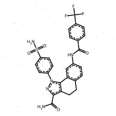 NC(=O)c1nn(-c2ccc(S(N)(=O)=O)cc2)c2c1CCc1ccc(NC(=O)c3ccc(C(F)(F)F)cc3)cc1-2